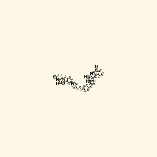 O=C1CCC(N2Cc3ccc(N4CCN(CCCN5CCC(CN6CCN7c8cc(-c9ccccc9O)nnc8NC[C@H]7C6)CC5)CC4)cc3C2=O)C(=O)N1